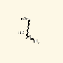 CCCCCCCCC=CCCCCCCC(C)SCCN.Cl